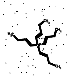 CCC=[CH][Pd-4]([CH]=CCC)([CH]=CCC)[CH]=CCC